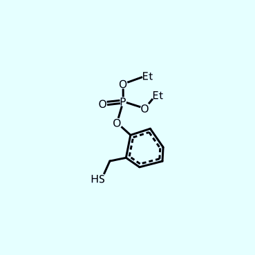 CCOP(=O)(OCC)Oc1ccccc1CS